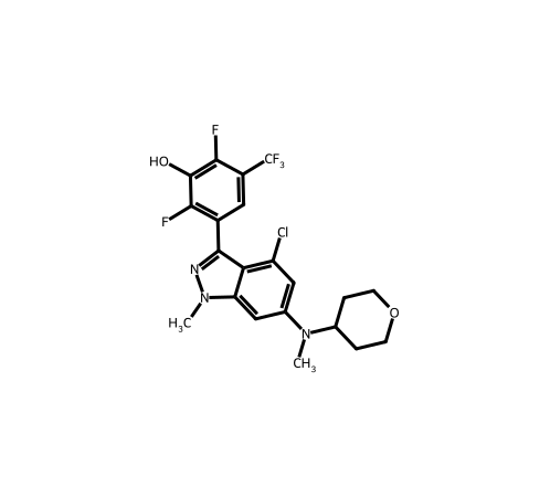 CN(c1cc(Cl)c2c(-c3cc(C(F)(F)F)c(F)c(O)c3F)nn(C)c2c1)C1CCOCC1